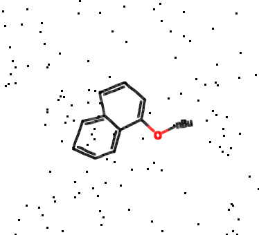 CC[CH]COc1cccc2ccccc12